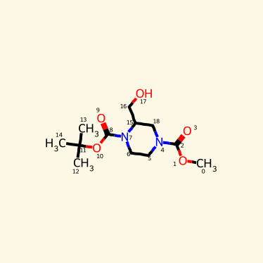 COC(=O)N1CCN(C(=O)OC(C)(C)C)C(CO)C1